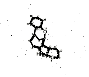 C1=C2CC(=c3c([nH]c4ccccc34)=C1)Oc1ccccc12